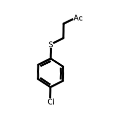 CC(=O)CCSc1ccc(Cl)cc1